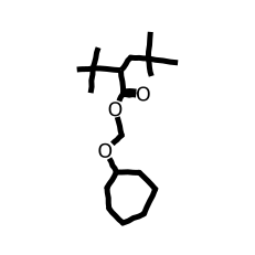 CC(C)(C)CC(C(=O)OCOC1CCCCCC1)C(C)(C)C